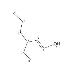 CCCC(C=CO)CC